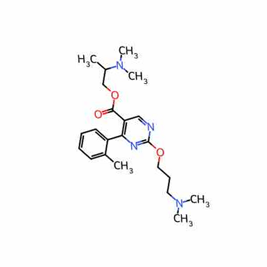 Cc1ccccc1-c1nc(OCCCN(C)C)ncc1C(=O)OCC(C)N(C)C